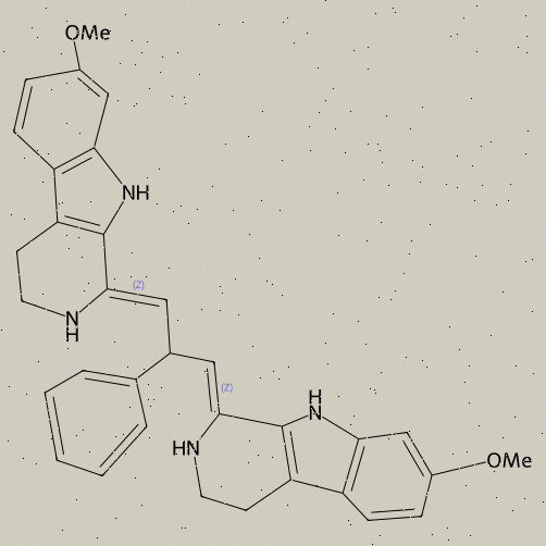 COc1ccc2c3c([nH]c2c1)/C(=C/C(/C=C1\NCCc2c1[nH]c1cc(OC)ccc21)c1ccccc1)NCC3